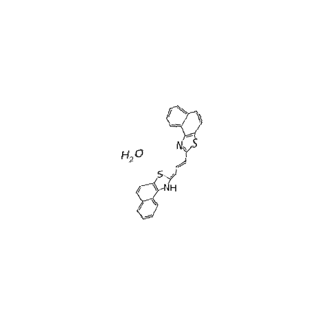 C(=Cc1nc2c(ccc3ccccc32)s1)C=C1Nc2c(ccc3ccccc23)S1.O